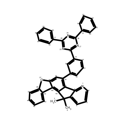 CC1(C)c2cccnc2-c2c(-c3cccc(-c4nc(-c5ccccc5)nc(-c5ccccc5)n4)c3)cc3oc4ccccc4c3c21